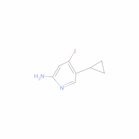 Nc1cc(I)c(C2CC2)cn1